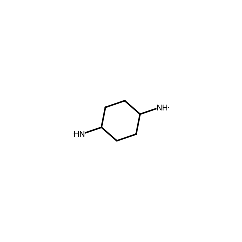 [NH]C1CCC([NH])CC1